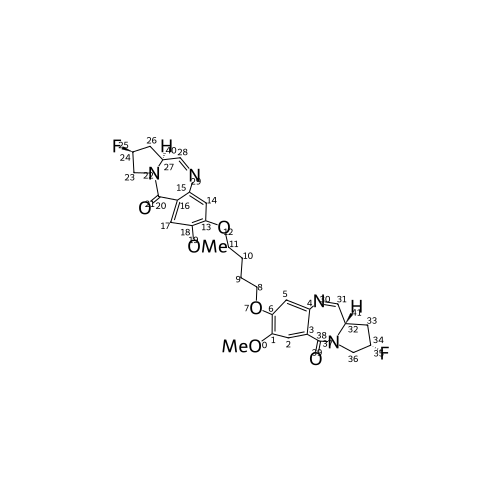 COc1cc2c(cc1OCCCCOc1cc3c(cc1OC)C(=O)N1C[C@@H](F)C[C@H]1C=N3)N=C[C@@H]1C[C@H](F)CN1C2=O